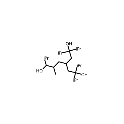 CC(C)C(O)C(C)CC(CC(O)(C(C)C)C(C)C)CC(O)(C(C)C)C(C)C